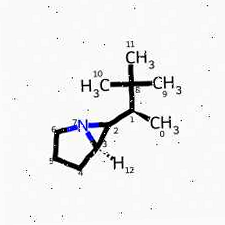 C[C@@H](C1[C@H]2CCCN12)C(C)(C)C